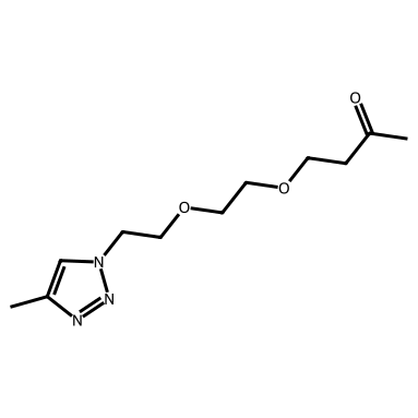 CC(=O)CCOCCOCCn1cc(C)nn1